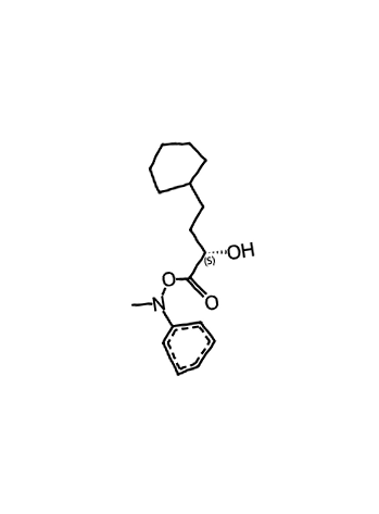 CN(OC(=O)[C@@H](O)CCC1CCCCC1)c1ccccc1